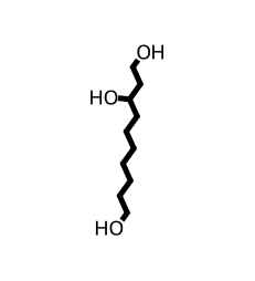 OCCCCCCCC(O)CCO